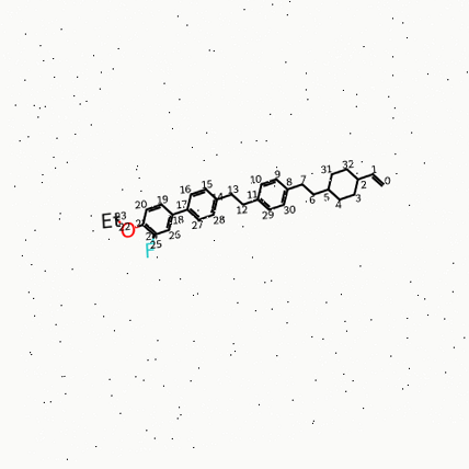 C=CC1CCC(CCc2ccc(CCc3ccc(-c4ccc(OCC)c(F)c4)cc3)cc2)CC1